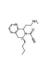 C#CC(=O)N1C(CCN)c2ncccc2C[C@@H]1CCCC